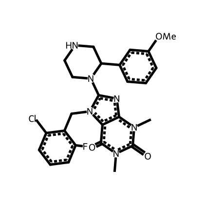 COc1cccc(C2CNCCN2c2nc3c(c(=O)n(C)c(=O)n3C)n2Cc2c(F)cccc2Cl)c1